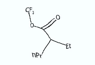 CCCC(CC)C(=O)OC(F)(F)F